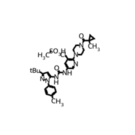 CS(=O)(=O)O.Cc1ccc(-n2nc(C(C)(C)C)cc2NC(=O)Nc2cnc(N3CCN(C(=O)C4(C)CC4)CC3)c(Cl)c2)cc1